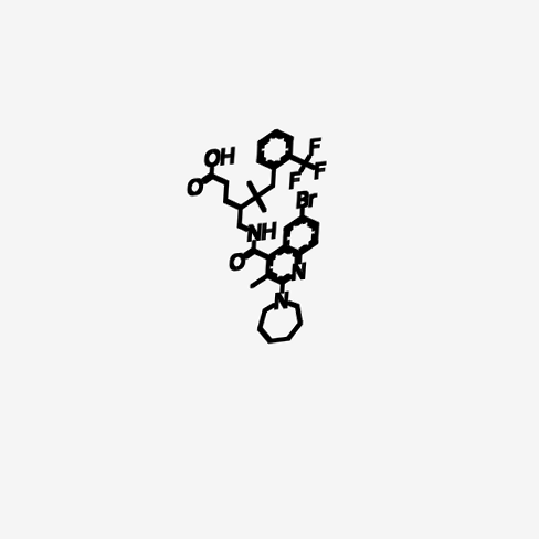 Cc1c(N2CCCCCC2)nc2ccc(Br)cc2c1C(=O)NCC(CCC(=O)O)C(C)(C)Cc1ccccc1C(F)(F)F